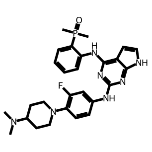 CN(C)C1CCN(c2ccc(Nc3nc(Nc4ccccc4P(C)(C)=O)c4cc[nH]c4n3)cc2F)CC1